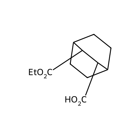 CCOC(=O)C1C2CCC(CC2)C1C(=O)O